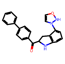 O=C(c1ccc(-c2ccccc2)cc1)C1Cc2c(cccc2N2C=CON2)N1